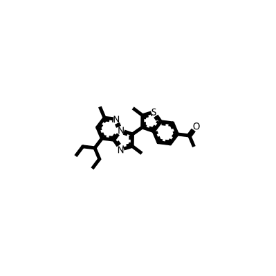 CCC(CC)c1cc(C)nn2c(-c3c(C)sc4cc(C(C)=O)ccc34)c(C)nc12